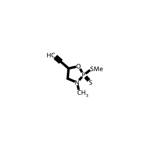 C#CC1CN(C)P(=S)(SC)O1